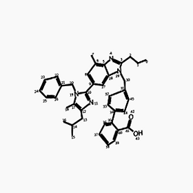 CCCc1nc2c(C)cc(-c3nc(CC(C)C)c(C)n3Cc3ccccc3)cc2n1Cc1ccc(-c2ccccc2C(=O)O)cc1